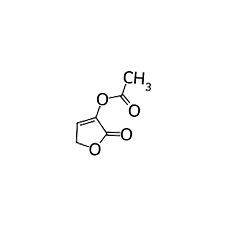 CC(=O)OC1=CCOC1=O